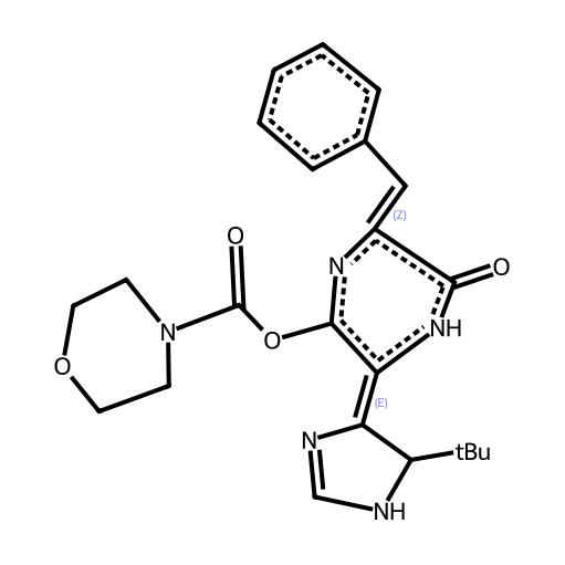 CC(C)(C)C1NC=N/C1=c1/[nH]c(=O)/c(=C/c2ccccc2)nc1OC(=O)N1CCOCC1